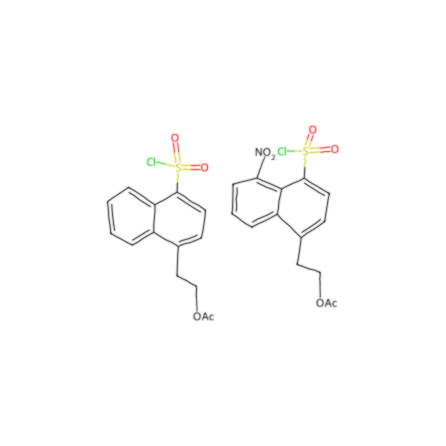 CC(=O)OCCc1ccc(S(=O)(=O)Cl)c2c([N+](=O)[O-])cccc12.CC(=O)OCCc1ccc(S(=O)(=O)Cl)c2ccccc12